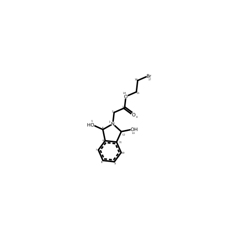 O=C(CN1C(O)c2ccccc2C1O)OCCBr